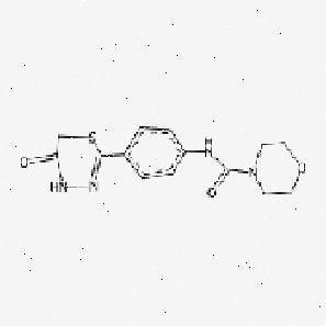 O=C1CSC(c2ccc(NC(=O)N3CCOCC3)cc2)=NN1